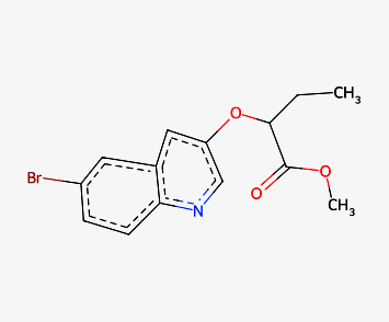 CCC(Oc1cnc2ccc(Br)cc2c1)C(=O)OC